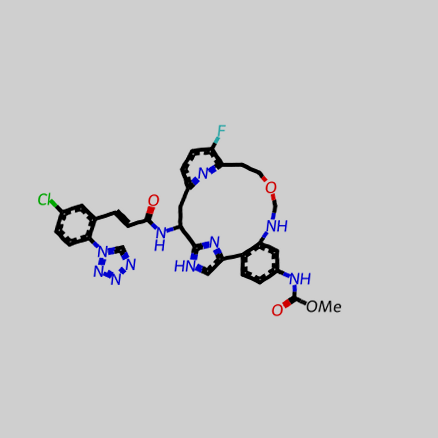 COC(=O)Nc1ccc2c(c1)NCOCCc1nc(ccc1F)CC(NC(=O)/C=C/c1cc(Cl)ccc1-n1cnnn1)c1nc-2c[nH]1